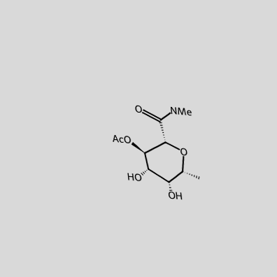 CNC(=O)[C@@H]1O[C@H](C)[C@H](O)[C@H](O)[C@H]1OC(C)=O